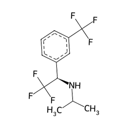 CC(C)N[C@H](c1cccc(C(F)(F)F)c1)C(F)(F)F